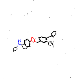 Cc1cc(COc2ccc3c(c2)CCC3NC2CCC2)ccc1-c1ccccc1